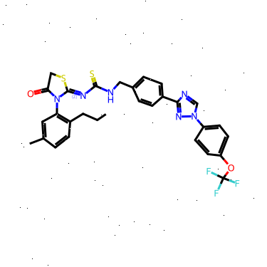 CCCc1ccc(C)cc1N1C(=O)CS/C1=N\C(=S)NCc1ccc(-c2ncn(-c3ccc(OC(F)(F)F)cc3)n2)cc1